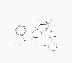 CC(C)(C)C(O[C@H]1C[C@@H]2[C@H]3CC[C@](CS(=O)(=O)N4CCC[C@H]4C(=O)O)([C@@H]2O1)C3(C)C)c1ccccc1